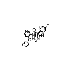 Nc1nn2cc(F)cnc2c1C(=O)Nc1cnccc1O[C@@H]1CCOC1